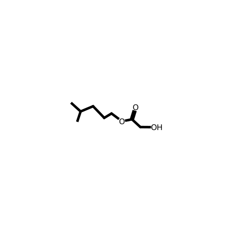 CC(C)CCCOC(=O)CO